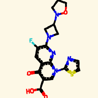 O=C(O)c1cn(-c2nccs2)c2nc(N3CC(N4CCCO4)C3)c(F)cc2c1=O